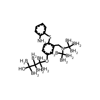 BC(B)(B)N(Cc1cc(OC(B)(B)C(B)(B)C(B)(B)O)ccc1Sc1ccccc1N)C(B)(B)B